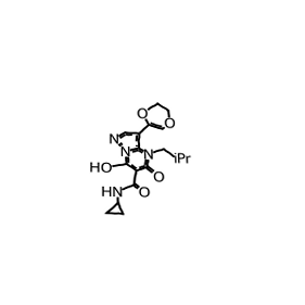 CC(C)Cn1c(=O)c(C(=O)NC2CC2)c(O)n2ncc(C3=COCCO3)c12